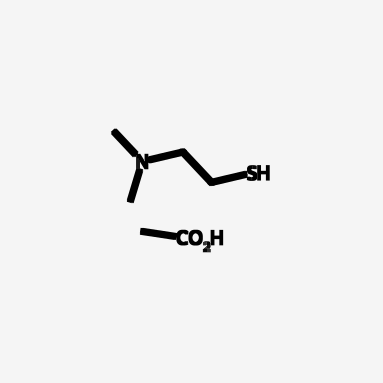 CC(=O)O.CN(C)CCS